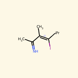 CC(=N)/C(C)=C(\I)C(C)C